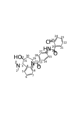 CN(C)[C@H]1c2ccccc2N(C(=O)c2ccc(NC(=O)c3ccccc3Cl)cc2)CC[C@@H]1O